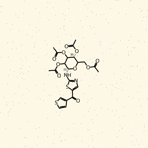 CC(=O)OCC1O[C@H](Nc2ncc(C(=O)c3ccsc3)s2)C(OC(C)=O)C(OC(C)=O)[C@@H]1OC(C)=O